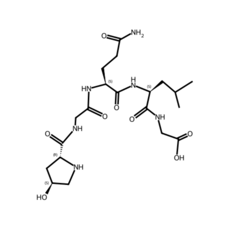 CC(C)C[C@H](NC(=O)[C@H](CCC(N)=O)NC(=O)CNC(=O)[C@H]1C[C@H](O)CN1)C(=O)NCC(=O)O